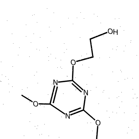 COc1nc(OC)nc(OCCO)n1